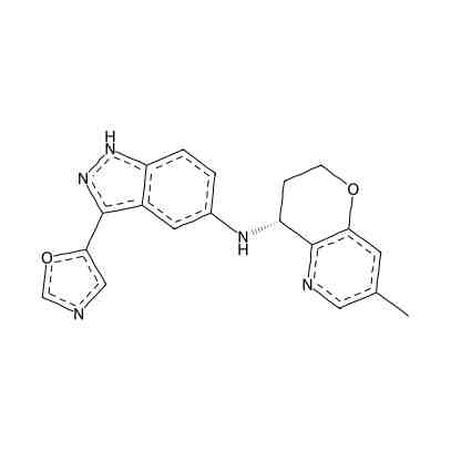 Cc1cnc2c(c1)OCC[C@H]2Nc1ccc2[nH]nc(-c3cnco3)c2c1